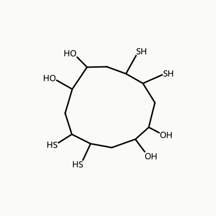 OC1CC(S)C(S)CC(O)C(O)CC(S)C(S)CC1O